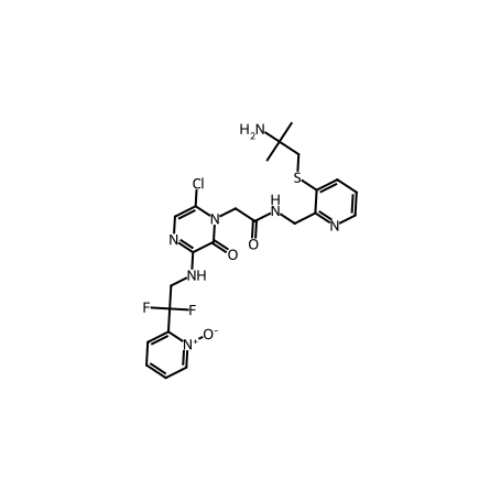 CC(C)(N)CSc1cccnc1CNC(=O)Cn1c(Cl)cnc(NCC(F)(F)c2cccc[n+]2[O-])c1=O